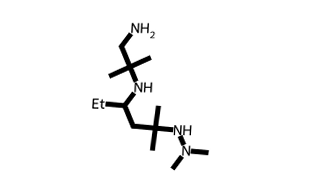 CCC(CC(C)(C)NN(C)C)NC(C)(C)CN